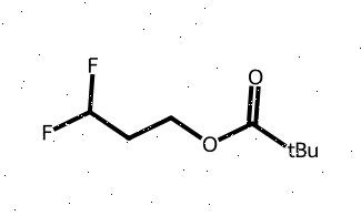 CC(C)(C)C(=O)OCCC(F)F